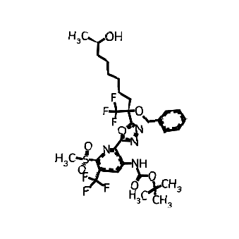 C[C@@H](O)CCCCCC[C@@](OCc1ccccc1)(c1nnc(-c2nc(S(C)(=O)=O)c(C(F)(F)F)cc2NC(=O)OC(C)(C)C)o1)C(F)(F)F